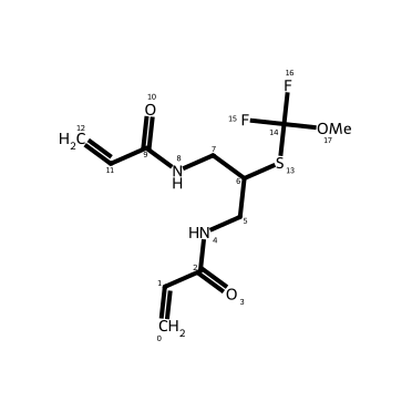 C=CC(=O)NCC(CNC(=O)C=C)SC(F)(F)OC